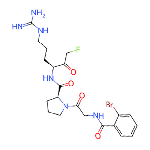 N=C(N)NCCC[C@H](NC(=O)[C@@H]1CCCN1C(=O)CNC(=O)c1ccccc1Br)C(=O)CF